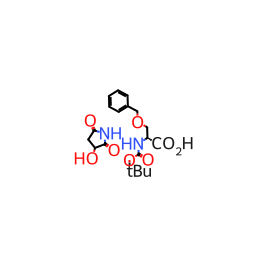 CC(C)(C)OC(=O)N[C@@H](COCc1ccccc1)C(=O)O.O=C1CC(O)C(=O)N1